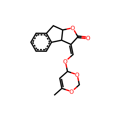 CC1=CC(O/C=C2/C(=O)OC3Cc4ccccc4C23)OCO1